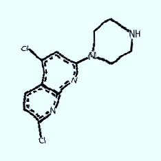 Clc1ccc2c(Cl)cc(N3CCNCC3)nc2n1